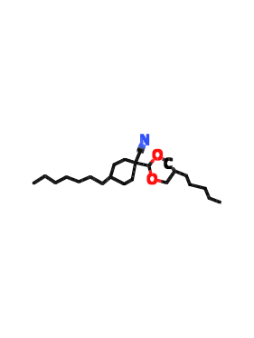 CCCCCCCC1CCC(C#N)(C2OCC(CCCCC)CO2)CC1